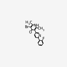 Cc1[nH]c(C)c(-c2ccc(-c3ccccc3F)nc2)c(=O)c1Br